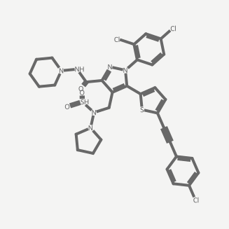 O=C(NN1CCCCC1)c1nn(-c2ccc(Cl)cc2Cl)c(-c2ccc(C#Cc3ccc(Cl)cc3)s2)c1CN(N1CCCC1)[SH](=O)=O